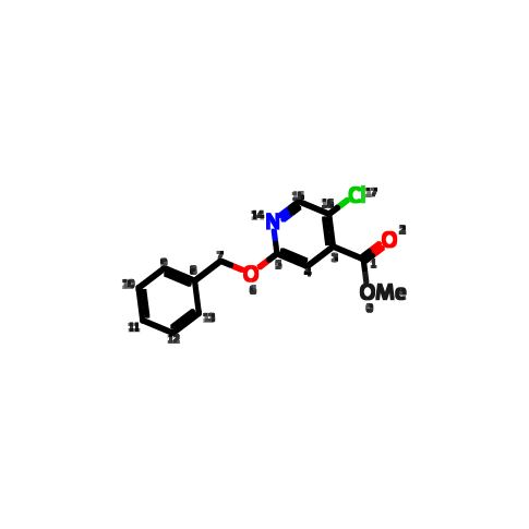 COC(=O)c1cc(OCc2ccccc2)ncc1Cl